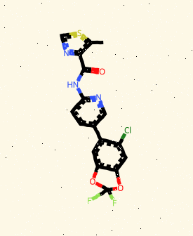 Cc1scnc1C(=O)Nc1ccc(-c2cc3c(cc2Cl)OC(F)(F)O3)cn1